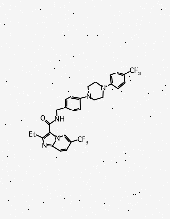 CCc1nc2ccc(C(F)(F)F)cn2c1C(=O)NCc1ccc(N2CCN(c3ccc(C(F)(F)F)cc3)CC2)cc1